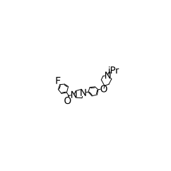 CC(C)N1CCC(Oc2ccc(N3CCN(C(=O)c4ccc(F)cc4)CC3)cc2)CC1